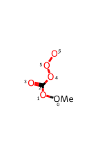 COOC(=O)OO[O]